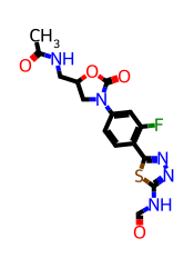 CC(=O)NCC1CN(c2ccc(-c3nnc(NC=O)s3)c(F)c2)C(=O)O1